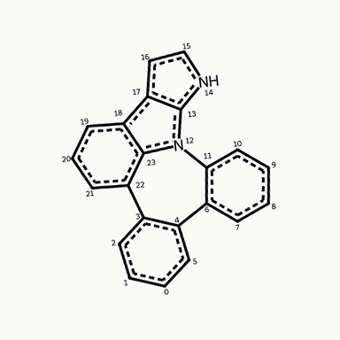 c1ccc2c(c1)-c1ccccc1-n1c3[nH]ccc3c3cccc-2c31